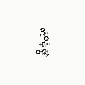 CN(CC(O)c1cccc(NC(=O)c2cccs2)c1)C(=O)Oc1cnc(N(C)C)nc1-c1ccccc1